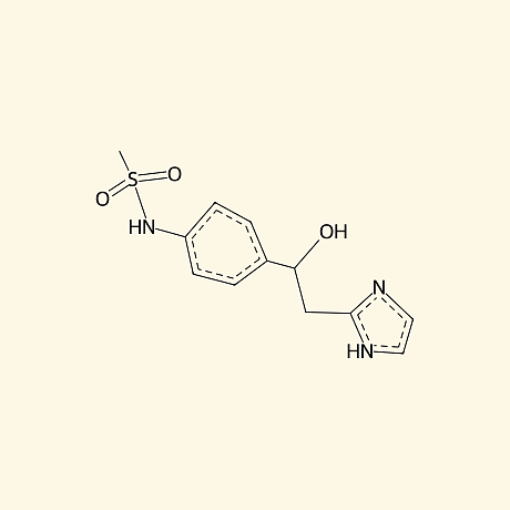 CS(=O)(=O)Nc1ccc(C(O)Cc2ncc[nH]2)cc1